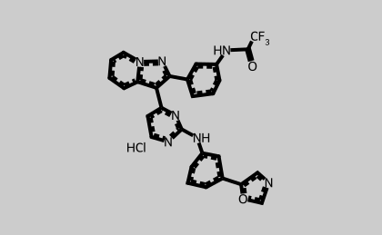 Cl.O=C(Nc1cccc(-c2nn3ccccc3c2-c2ccnc(Nc3cccc(-c4cnco4)c3)n2)c1)C(F)(F)F